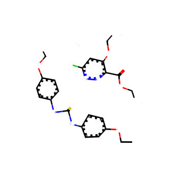 CCOC(=O)c1nnc(Cl)cc1OCC.CCOc1ccc(NC(=S)Nc2ccc(OCC)cc2)cc1.[NaH]